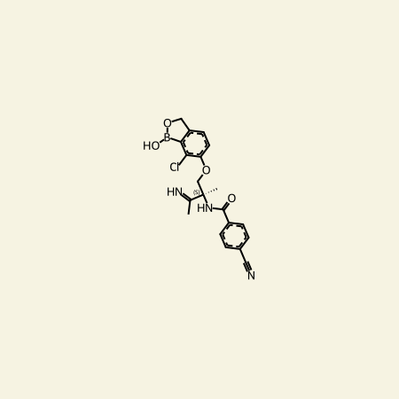 CC(=N)[C@@](C)(COc1ccc2c(c1Cl)B(O)OC2)NC(=O)c1ccc(C#N)cc1